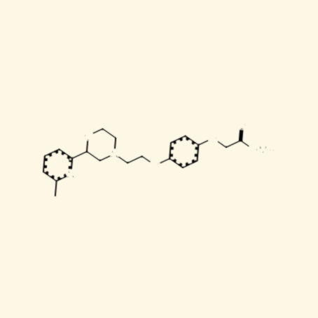 COC(=O)COc1ccc(OCCN2CCOC(c3cccc(C)n3)C2)cc1